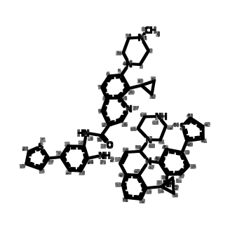 CN1CCN(c2ccc3cc(C(=O)Nc4cc(-c5cccs5)ccc4N)cnc3c2C2CC2)CC1.Nc1ccc(-c2cccs2)cc1N1c2c(cccc2C2CC2)C=CC1N1CCNCC1